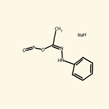 CC(=NNc1ccccc1)OP=O.[NaH]